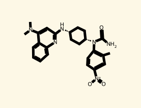 Cc1cc([N+](=O)[O-])ccc1N(C(N)=O)[C@H]1CC[C@@H](Nc2cc(N(C)C)c3ccccc3n2)CC1